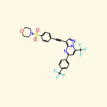 O=S(=O)(c1ccc(C#Cc2cnn3c(C(F)(F)F)cc(-c4ccc(C(F)(F)F)cc4)nc23)cc1)N1CCOCC1